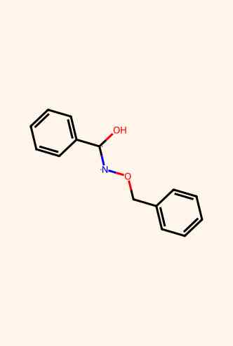 O[C]([N]OCc1ccccc1)c1ccccc1